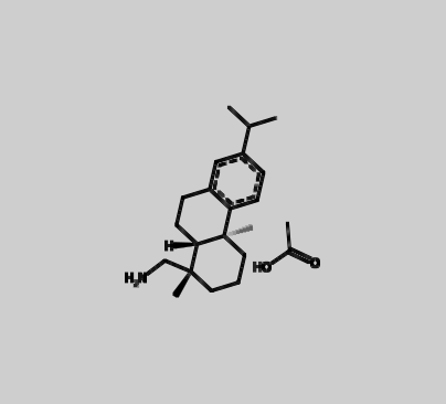 CC(=O)O.CC(C)c1ccc2c(c1)CC[C@H]1[C@@](C)(CN)CCC[C@]21C